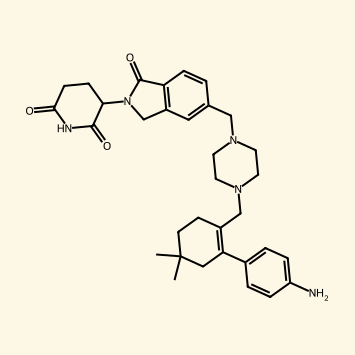 CC1(C)CCC(CN2CCN(Cc3ccc4c(c3)CN(C3CCC(=O)NC3=O)C4=O)CC2)=C(c2ccc(N)cc2)C1